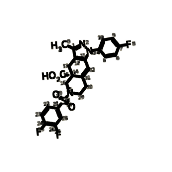 Cc1nn(-c2ccc(F)cc2)c2c1C[C@]1(C(=O)O)CN(S(=O)(=O)c3ccc(F)c(F)c3)CCC1=C2